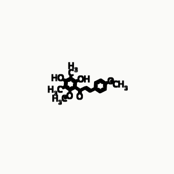 COc1ccc(C=CC(=O)c2c(O)c(C)c(O)c(C)c2OC)cc1